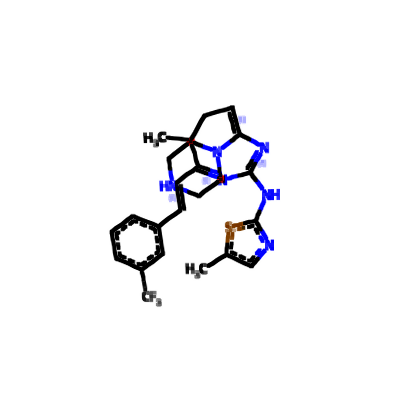 Cc1cnc(NC2=N/C(N3CCNCC3)=C/CC(C)C(/C=C/c3cccc(C(F)(F)F)c3)=N\2)s1